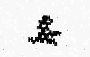 CC(C)CCc1c(N)nc(N)nc1N1CCN(C)CC1